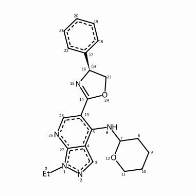 CCn1ncc2c(NC3CCCCO3)c(C3=N[C@@H](c4ccccc4)CO3)cnc21